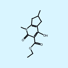 CCOC(=O)c1c(O)c2c(n(C)c1=O)CC(C)C2